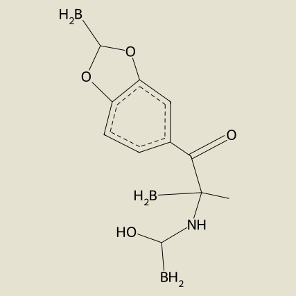 BC(O)NC(B)(C)C(=O)c1ccc2c(c1)OC(B)O2